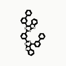 c1ccc(-c2cccc(-c3nc(-c4cccc(-c5nc(-c6cccc(-c7ccccc7)c6)c6c(n5)sc5ccccc56)c4)nc4oc5ccccc5c34)c2)cc1